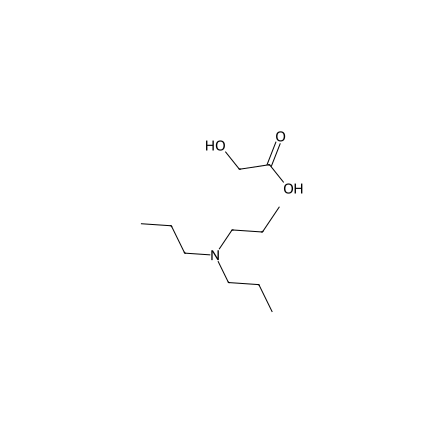 CCCN(CCC)CCC.O=C(O)CO